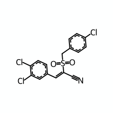 N#C/C(=C/c1ccc(Cl)c(Cl)c1)S(=O)(=O)Cc1ccc(Cl)cc1